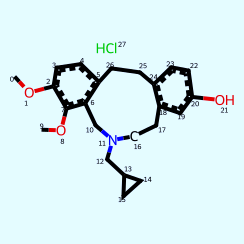 COc1ccc2c(c1OC)CN(CC1CC1)CCc1cc(O)ccc1CC2.Cl